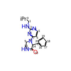 CC(C)CNc1nccc(N2CCNC(=O)C2c2ccccc2)n1